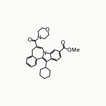 COC(=O)c1ccc2c(C3CCCCC3)c3n(c2c1)C=C(C(=O)N1CCOCC1)Cc1ccccc1-3